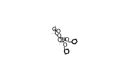 COC(=O)[C@@H](C)COCC[C@H](OCc1ccccc1)[C@@H](OCc1ccccc1)[C@H](C)O